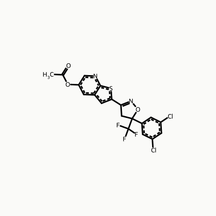 CC(=O)Oc1cnc2sc(C3=NOC(c4cc(Cl)cc(Cl)c4)(C(F)(F)F)C3)cc2c1